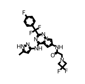 Cc1cc(Nc2nc(C(F)(F)c3ccc(F)cc3)nn3cc(NC(=O)CN4CC(F)(F)C4)cc23)n[nH]1